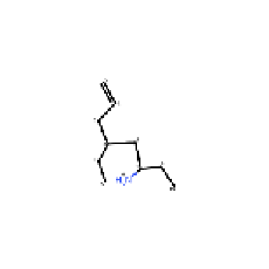 C=CCC(CC)CC(N)CC